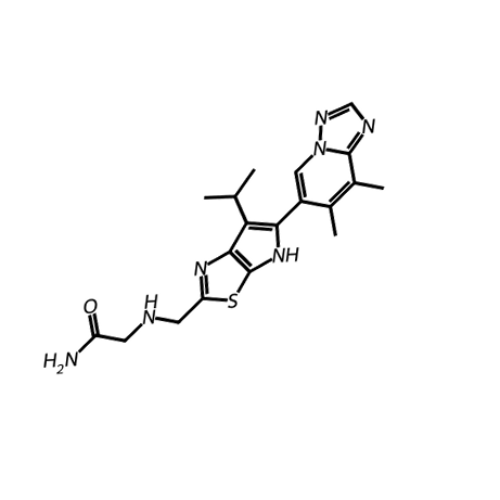 Cc1c(-c2[nH]c3sc(CNCC(N)=O)nc3c2C(C)C)cn2ncnc2c1C